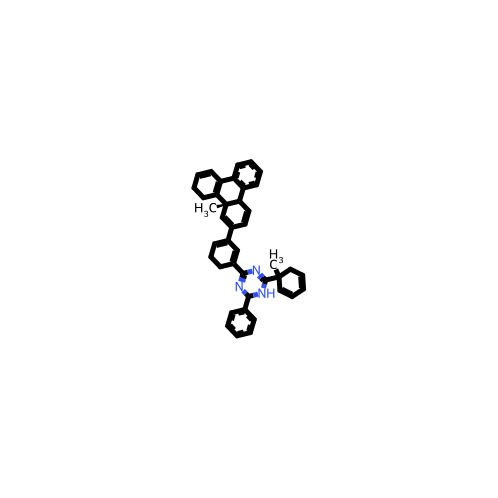 CC1(C2=NC(C3=CC(C4=C[C@]5(C)C6=C(C=CCC6)c6ccccc6C5C=C4)=CCC3)=NC(c3ccccc3)N2)C=CC=CC1